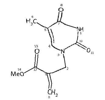 C=C(Cn1cc(C)c(=O)[nH]c1=O)C(=O)OC